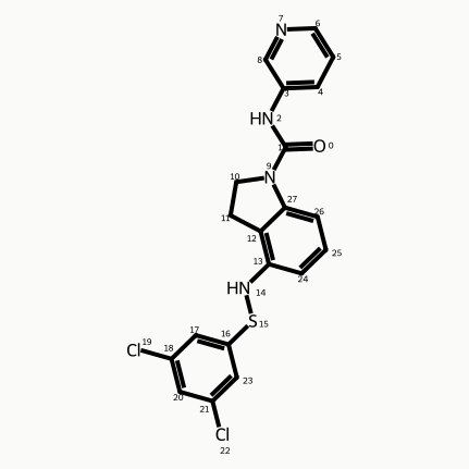 O=C(Nc1cccnc1)N1CCc2c(NSc3cc(Cl)cc(Cl)c3)cccc21